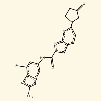 Cc1cn2cc(NC(=O)c3cc4ccc(N5CCC(=O)C5)nc4s3)cc(F)c2n1